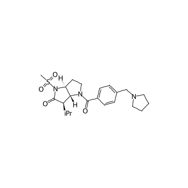 CC(C)[C@H]1C(=O)N(S(C)(=O)=O)[C@H]2CCN(C(=O)c3ccc(CN4CCCC4)cc3)[C@H]12